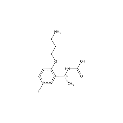 C[C@@H](NC(=O)O)c1cc(F)ccc1OCCCN